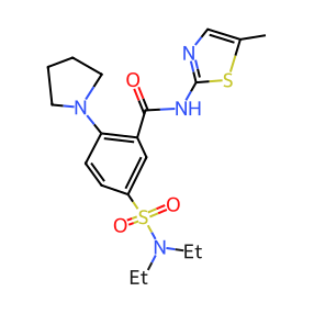 CCN(CC)S(=O)(=O)c1ccc(N2CCCC2)c(C(=O)Nc2ncc(C)s2)c1